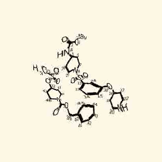 CC(C)(C)OC(=O)NC1CCN(S(=O)(=O)c2cccc(OC3CCNCC3)c2)CC1.CS(=O)(=O)OC1CCN(C(=O)OCc2ccccc2)CC1